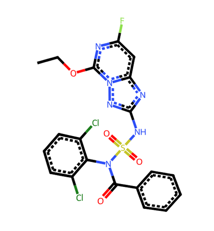 CCOc1nc(F)cc2nc(NS(=O)(=O)N(C(=O)c3ccccc3)c3c(Cl)cccc3Cl)nn12